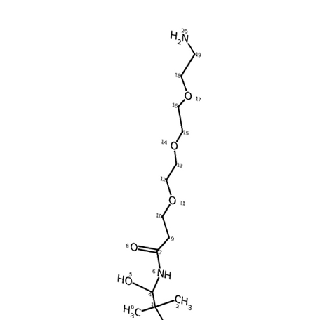 CC(C)(C)C(O)NC(=O)CCOCCOCCOCCN